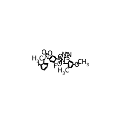 COc1ccc(CN(c2ncns2)S(=O)(=O)c2cc3oc(=O)n([C@H](C)c4ccccc4I)c3cc2F)c(C)c1